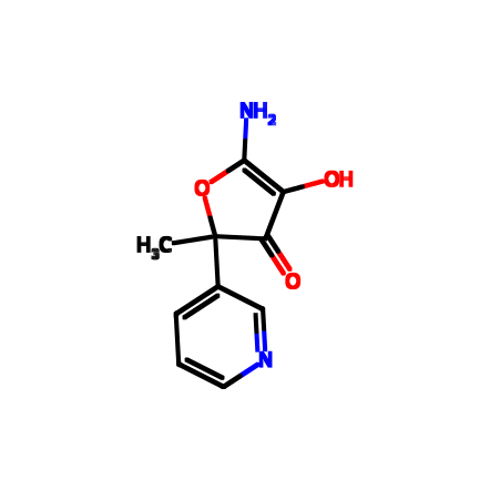 CC1(c2cccnc2)OC(N)=C(O)C1=O